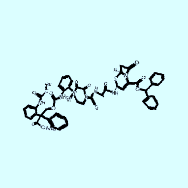 CC[N+]1(c2ccccc2NC(=O)OCC(C(=O)OC)(c2ccccc2)c2ccccc2NC(=O)OC(C)(C)C)CCN(C(=O)NCC(=O)N[C@H]2C=C(C(=O)OC(c3ccccc3)c3ccccc3)N3C(=O)C[C@@H]3S2)C(=O)C1=O